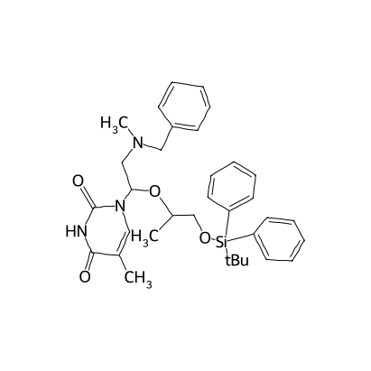 Cc1cn(C(CN(C)Cc2ccccc2)OC(C)CO[Si](c2ccccc2)(c2ccccc2)C(C)(C)C)c(=O)[nH]c1=O